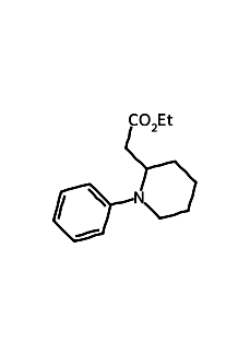 CCOC(=O)CC1CCCCN1c1ccccc1